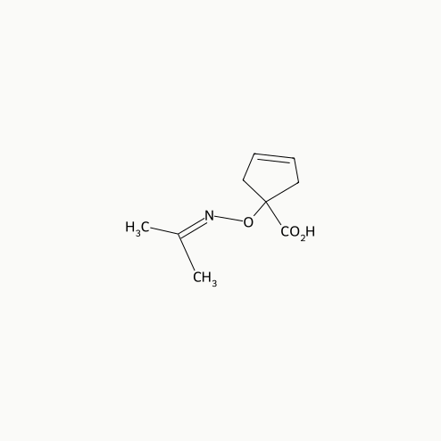 CC(C)=NOC1(C(=O)O)CC=CC1